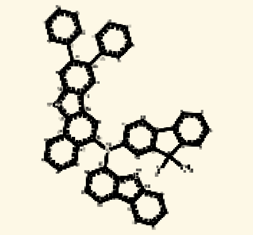 CC1(C)c2ccccc2-c2ccc(N(c3cc4c5cc(-c6ccccc6)c(-c6ccccc6)cc5oc4c4ccccc34)c3cccc4c3oc3ccccc34)cc21